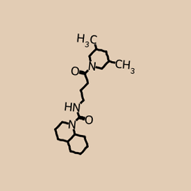 CC1CC(C)CN(C(=O)CCCNC(=O)N2CCCC3CCCCC32)C1